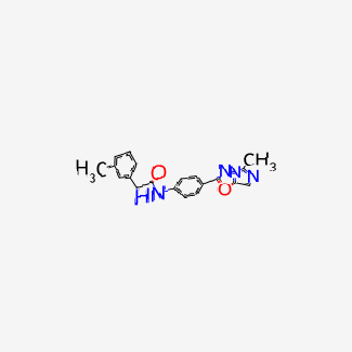 Cc1cccc(CC(=O)Nc2ccc(-c3nn4c(C)ncc4o3)cc2)c1